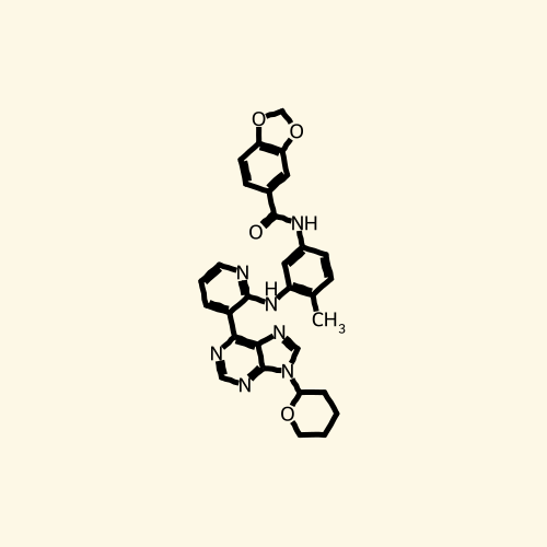 Cc1ccc(NC(=O)c2ccc3c(c2)OCO3)cc1Nc1ncccc1-c1ncnc2c1ncn2C1CCCCO1